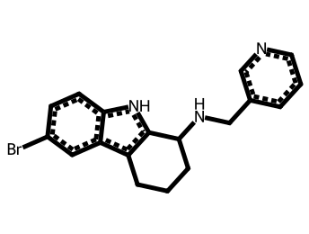 Brc1ccc2[nH]c3c(c2c1)CCCC3NCc1cccnc1